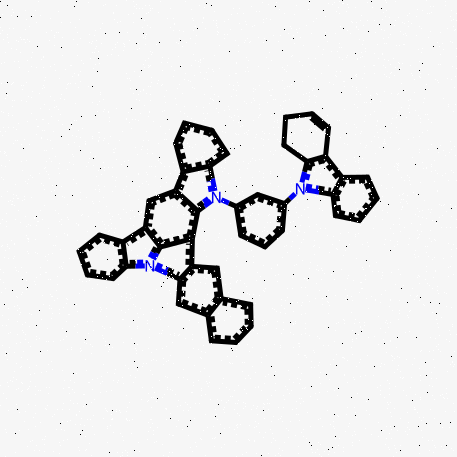 C1=Cc2c(n(-c3cccc(-n4c5ccccc5c5cc6c7ccccc7n7c8cc9ccccc9cc8c(c54)c67)c3)c3ccccc23)CC1